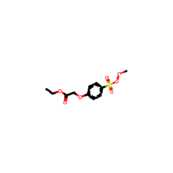 CCOC(=O)COc1ccc(S(=O)(=O)OOC)cc1